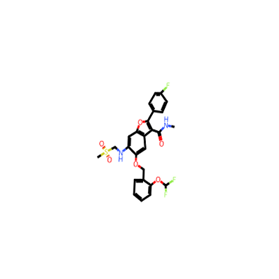 CNC(=O)c1c(-c2ccc(F)cc2)oc2cc(NCS(C)(=O)=O)c(OCc3ccccc3OC(F)F)cc12